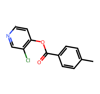 Cc1ccc(C(=O)Oc2c[c]ncc2Cl)cc1